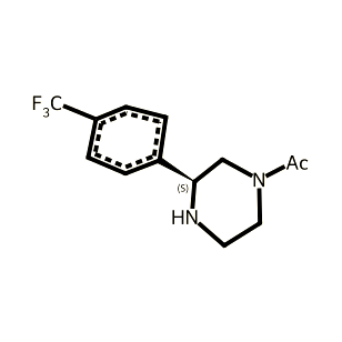 CC(=O)N1CCN[C@@H](c2ccc(C(F)(F)F)cc2)C1